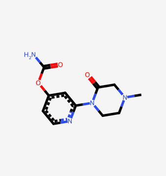 CN1CCN(c2cc(OC(N)=O)ccn2)C(=O)C1